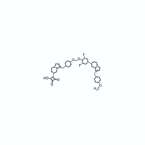 COc1ccc(Cn2ccc3ccc(-c4cc(F)c(OCOc5ccc(Cn6ccc7ccc(-c8c(O)c(=O)c8=O)cc76)cc5)c(F)c4)cc32)cc1